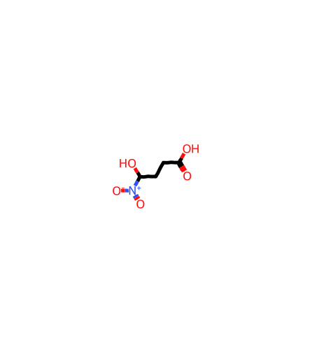 O=C(O)CCC(O)[N+](=O)[O-]